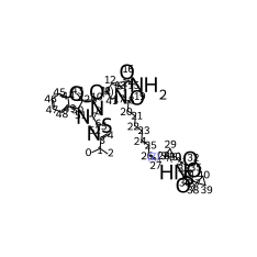 CC(C)c1csc(-c2nc(O[C@@H]3C[C@@H](C(N)=O)N(C(=O)CCCCCC/C=C\[C@@H]4C[C@@H]4C(=O)NS(=O)(=O)C4(C)CC4)C3)c3oc4ccccc4c3n2)n1